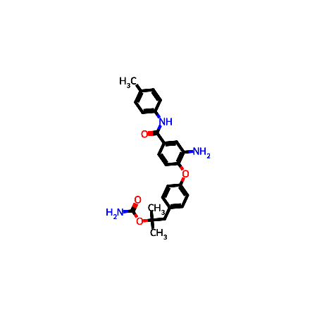 Cc1ccc(NC(=O)c2ccc(Oc3ccc(CC(C)(C)OC(N)=O)cc3)c(N)c2)cc1